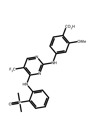 COc1cc(Nc2ncc(C(F)(F)F)c(Nc3ccccc3P(C)(C)=O)n2)ccc1C(=O)O